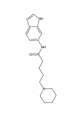 O=C(CCCCN1CCCCC1)Nc1ccc2cc[nH]c2c1